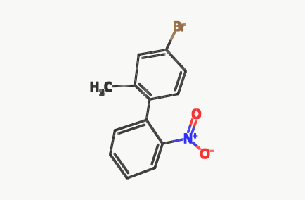 Cc1cc(Br)ccc1-c1ccccc1[N+](=O)[O-]